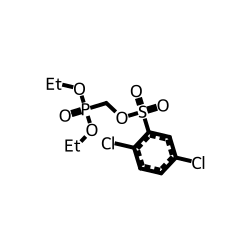 CCOP(=O)(COS(=O)(=O)c1cc(Cl)ccc1Cl)OCC